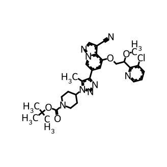 COC(COc1cc(-c2nnn(C3CCN(C(=O)OC(C)(C)C)CC3)c2C)cn2ncc(C#N)c12)c1ncccc1Cl